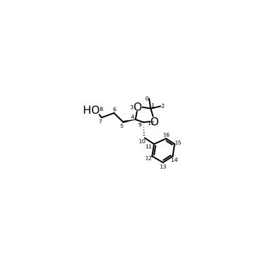 CC1(C)O[C@H](CCCO)[C@@H](Cc2ccccc2)O1